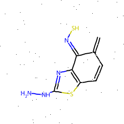 C=C1C=Cc2sc(NN)nc2/C1=N/S